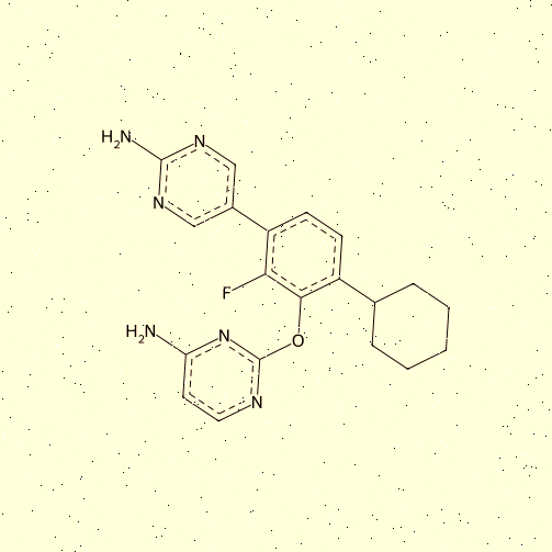 Nc1ccnc(Oc2c(C3CCCCC3)ccc(-c3cnc(N)nc3)c2F)n1